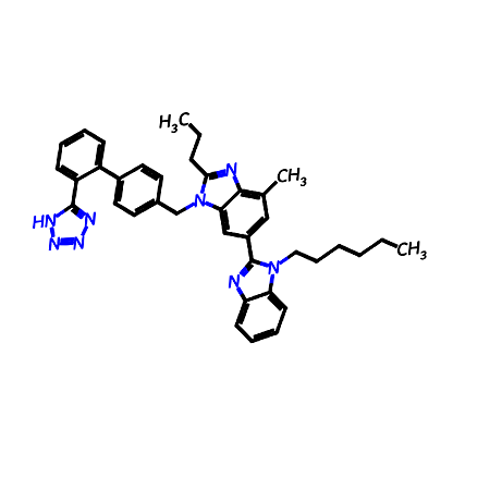 CCCCCCn1c(-c2cc(C)c3nc(CCC)n(Cc4ccc(-c5ccccc5-c5nnn[nH]5)cc4)c3c2)nc2ccccc21